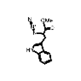 COC(=O)C(Cc1c[nH]c2ccccc12)N=[N+]=[N-]